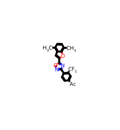 CC(=O)c1ccc(-c2noc(-c3cc4c(C)ccc(C)c4o3)n2)c(C(F)(F)F)c1